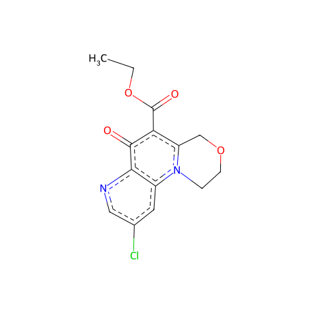 CCOC(=O)c1c2n(c3cc(Cl)cnc3c1=O)CCOC2